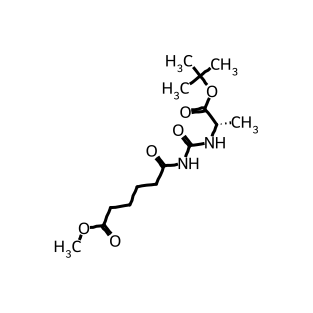 COC(=O)CCCCC(=O)NC(=O)N[C@@H](C)C(=O)OC(C)(C)C